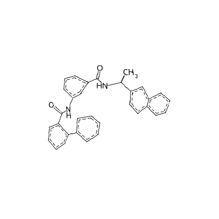 CC(NC(=O)c1cccc(NC(=O)c2ccccc2-c2ccccc2)c1)c1ccc2ccccc2c1